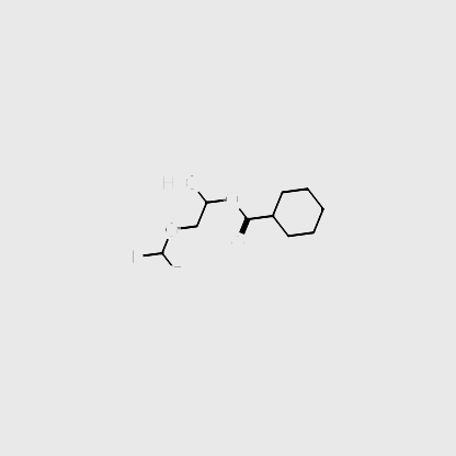 CC(COC(F)F)OC(=O)C1CCCCC1